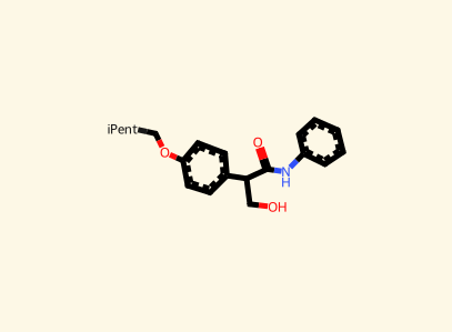 CCCC(C)COc1ccc(C(CO)C(=O)Nc2ccccc2)cc1